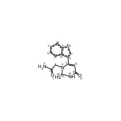 NC(=O)CN1C(c2csc3ccccc23)=CC(=O)NC1S